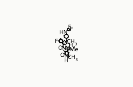 CSc1cc(C)[nH]c(=O)c1CNC(=O)c1c(C)n([C@H](C)C2CCC(NC3CC(F)(F)C3)CC2)c2ccc(F)cc12